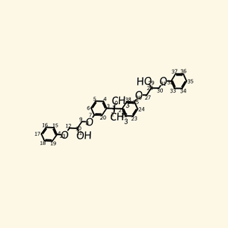 CC(C)(c1cccc(OCC(O)COc2ccccc2)c1)c1cccc(OCC(O)COc2ccccc2)c1